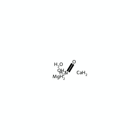 O.O.O=[SiH2].[CaH2].[MgH2]